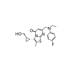 CCN(Cc1cc(=O)n2c([C@@H]3C[C@H]3CO)c(C)sc2n1)c1ccc(F)cc1